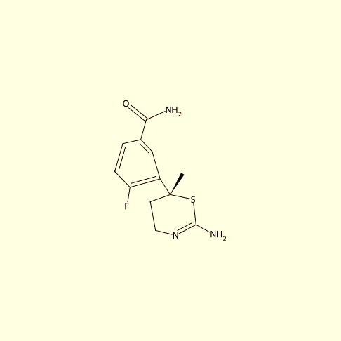 C[C@]1(c2cc(C(N)=O)ccc2F)CCN=C(N)S1